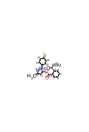 CCCCC(OC(C)=O)c1ccccc1C(=O)Oc1cc(C)nn1-c1ccc(F)cc1